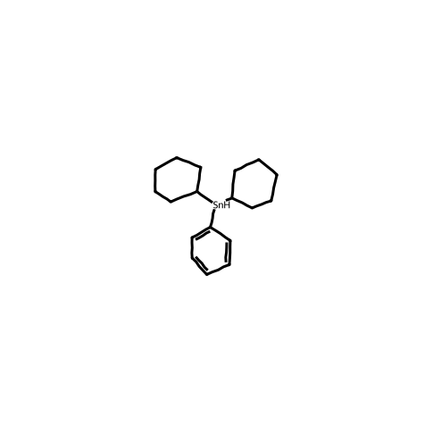 c1cc[c]([SnH]([CH]2CCCCC2)[CH]2CCCCC2)cc1